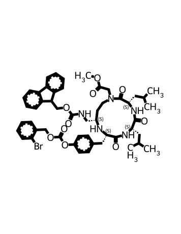 COC(=O)CN1CC[C@@H](CNC(=O)OCC2c3ccccc3-c3ccccc32)N[C@@H](Cc2ccc(OC(=O)OCc3ccccc3Br)cc2)C(=O)N[C@@H](CC(C)C)C(=O)N[C@@H](CC(C)C)C1=O